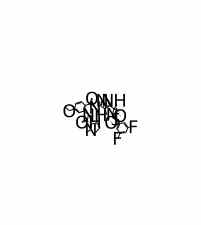 COc1ccc(C(=O)Nc2n[nH]c3c2CN(S(=O)(=O)c2cc(F)cc(F)c2)C3(C)C)c(NC(=O)[C@@H]2CCCN2C)c1